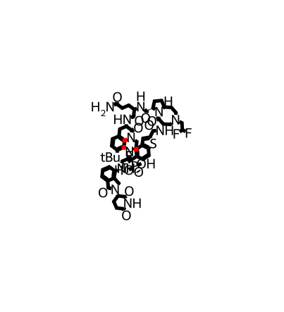 CC(C)(C)c1ccc(CC(NC(=O)C(CCC(N)=O)NC(=O)[C@@H]2CC[C@@H]3CCN(CC(F)F)C[C@H](NC(=O)c4cc5cc(C(F)(F)P(=O)(O)O)ccc5s4)C(=O)N32)C(=O)N2CCN(CCNc3cccc4c3CN(C3CCC(=O)NC3=O)C4=O)CC2)cc1